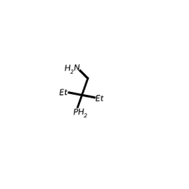 CCC(P)(CC)CN